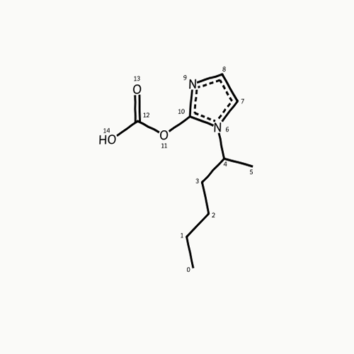 CCCCC(C)n1ccnc1OC(=O)O